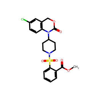 COC(=O)c1ccccc1S(=O)(=O)N1CCC(N2C(=O)OCc3cc(Cl)ccc32)CC1